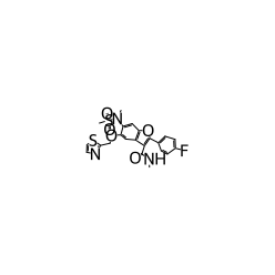 CNC(=O)c1c(-c2ccc(F)cc2)oc2cc(N(C)S(C)(=O)=O)c(OCc3nccs3)cc12